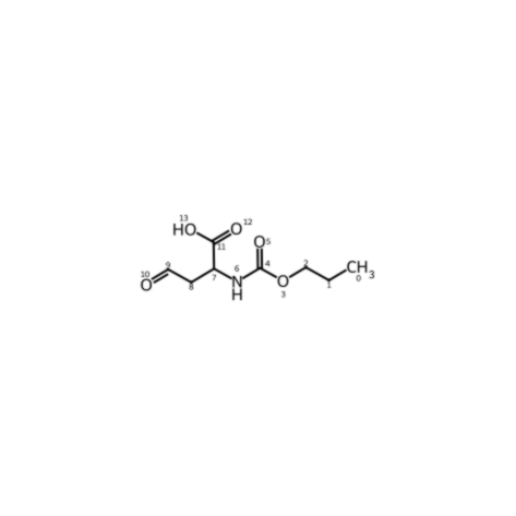 CCCOC(=O)NC(CC=O)C(=O)O